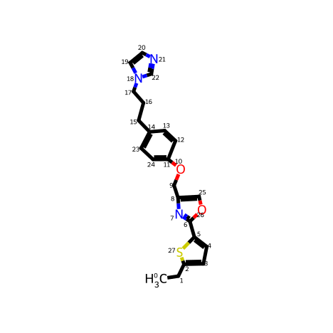 CCc1ccc(-c2nc(COc3ccc(CCCn4ccnc4)cc3)co2)s1